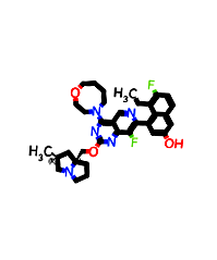 CCc1c(F)ccc2cc(O)cc(-c3ncc4c(N5CCCCOCC5)nc(OC[C@@]56CCCN5C[C@H](C)C6)nc4c3F)c12